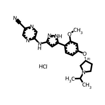 COc1cc(O[C@@H]2CCN(C(C)C)C2)ccc1-c1cc(Nc2cnc(C#N)cn2)n[nH]1.Cl